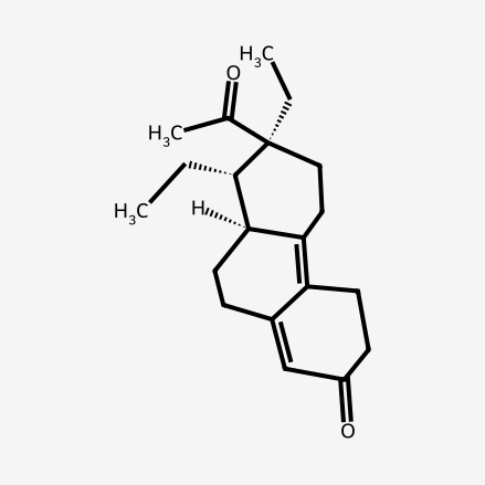 CC[C@H]1[C@@H]2CCC3=CC(=O)CCC3=C2CC[C@]1(CC)C(C)=O